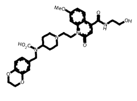 COc1ccc2c(C(=O)NCCO)cc(=O)n(CCN3CCC(N(Cc4ccc5c(c4)OCCO5)C(=O)O)CC3)c2c1